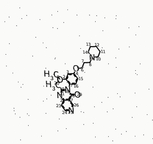 COc1cc(OCCCN2CCCCC2)ccc1-n1c(C)nc2ccncc2c1=O